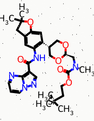 CN(C[C@H]1OC[C@H](c2cc3c(cc2NC(=O)c2cnn4cccnc24)CC(C)(C)O3)CO1)C(=O)OCC[Si](C)(C)C